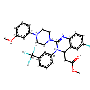 COC(=O)CC1c2cc(F)ccc2N=C(N2CCN(c3cccc(OC)c3)CC2)N1c1cccc(C(F)(F)F)c1